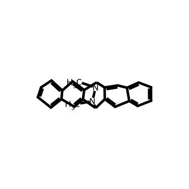 CN1C2c3cc4ccccc4cc3C(c3cc4ccccc4cc32)N1C